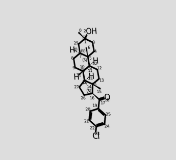 C[C@@]1(O)CC[C@@]2(C)[C@@H](CC[C@@H]3[C@@H]2CC[C@]2(C)[C@@H](C(=O)c4ccc(Cl)cc4)CC[C@@H]32)C1